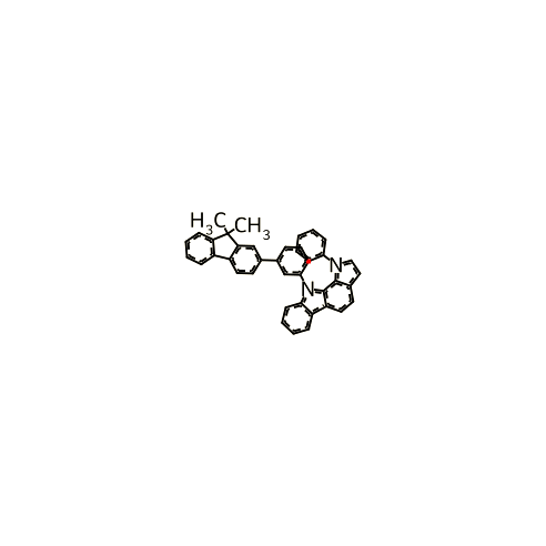 CC1(C)c2ccccc2-c2ccc(-c3cccc(-n4c5ccccc5c5ccc6ccn(-c7ccccc7)c6c54)c3)cc21